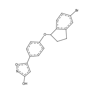 Oc1cc(-c2ccc(OC3CCc4cc(Br)ccc43)cc2)on1